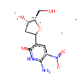 Nc1[nH]c(=O)c(C2C[C@H](O)[C@@H](CO)O2)cc1[N+](=O)[O-]